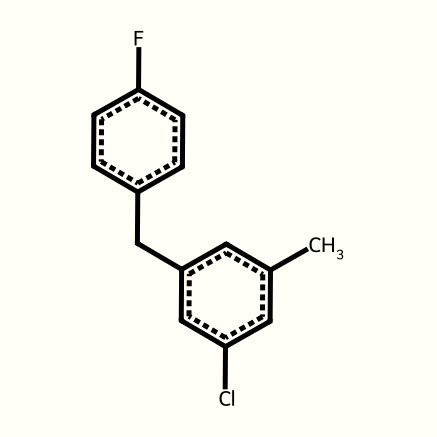 Cc1cc(Cl)cc(Cc2ccc(F)cc2)c1